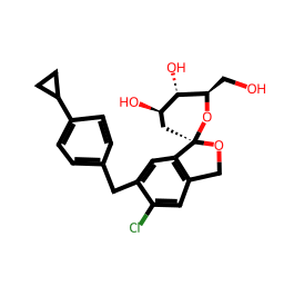 OC[C@H]1O[C@@]2(C[C@@H](O)[C@@H]1O)OCc1cc(Cl)c(Cc3ccc(C4CC4)cc3)cc12